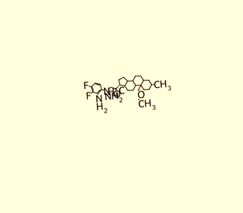 CCOCC12CC[C@H](C)CC1CCC1C2CCC2(C)C1CC[C@@H]2C(=O)CN(N)c1ccc(F)c(F)c1N